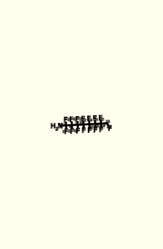 NC(F)(F)C(F)(F)C(F)(F)C(F)(F)C(F)(F)C(F)(F)C(F)(F)CF